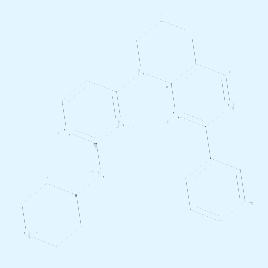 c1ccc(-c2ncc3c(n2)N(c2ccnc(NC4CCNCC4)n2)CCO3)cc1